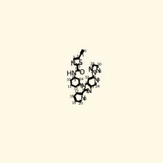 C#Cc1cnc(C(=O)N[C@H]2CCC[C@@H](n3c(-c4ccccn4)nc4cnc(-n5nccn5)cc43)C2)s1